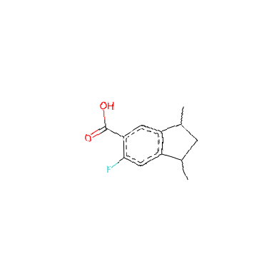 CC1CC(C)c2cc(C(=O)O)c(F)cc21